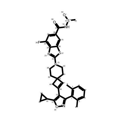 Cc1cccc(C)c1-c1noc(C2CC2)c1C1=CC2(CCN(c3nc4c(F)cc(C(=O)N[S+](C)[O-])cc4s3)CC2)C1